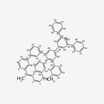 C=C(/C=C\C=C(/C)c1cccc(-c2cccc(-c3cc(-c4ccccc4)cc(-c4cc(-c5ccccc5)nc(-c5ccccc5)c4)c3)c2)c1)c1ccccc1